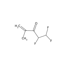 C=C(C)C(=O)C(F)C(F)F